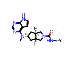 CC(C)NC(=O)N1C[C@H]2C[C@@H](N(C)c3ncnc4[nH]ccc34)C[C@H]2C1